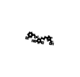 CCc1cccc(COC[C@@H]2[C@@H](CCCc3ccc(CO)s3)[C@H](Cl)C[C@H]2O)c1